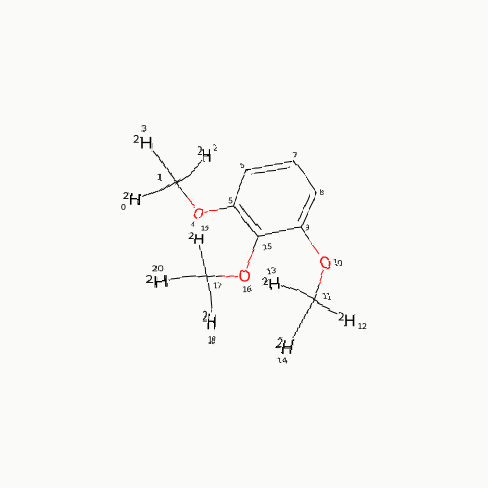 [2H]C([2H])([2H])Oc1cccc(OC([2H])([2H])[2H])c1OC([2H])([2H])[2H]